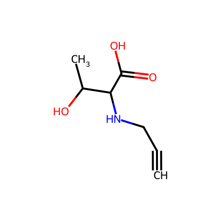 C#CCNC(C(=O)O)C(C)O